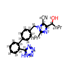 CCCc1nc(C(O)CCC)c(C#N)n1Cc1ccc(-c2ccccc2-c2nnn[nH]2)cc1